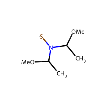 COC(C)N([S])C(C)OC